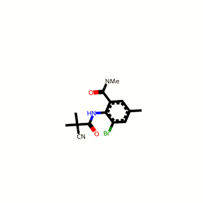 CNC(=O)c1cc(C)cc(Br)c1NC(=O)C(C)(C)C#N